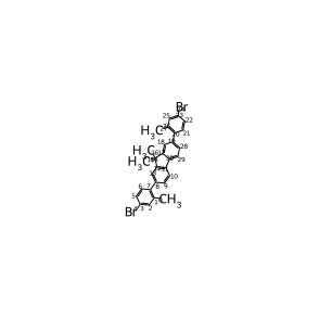 Cc1cc(Br)ccc1-c1ccc2c(c1)C(C)(C)c1cc(-c3ccc(Br)cc3C)ccc1-2